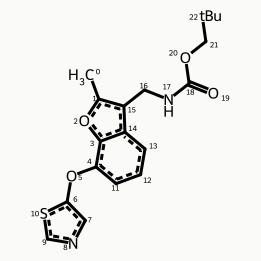 Cc1oc2c(Oc3cncs3)cccc2c1CNC(=O)OCC(C)(C)C